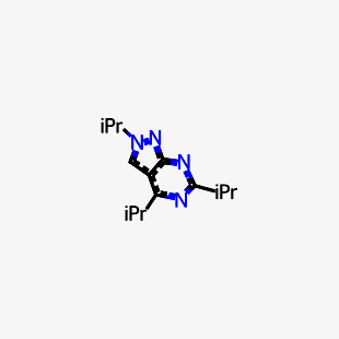 CC(C)c1nc(C(C)C)c2cn(C(C)C)nc2n1